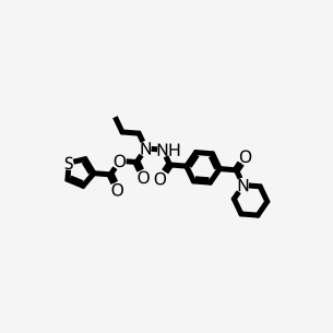 CCCN(NC(=O)c1ccc(C(=O)N2CCCCC2)cc1)C(=O)OC(=O)c1ccsc1